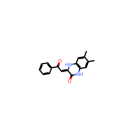 Cc1cc2c(cc1C)NC(=CC(=O)c1ccccc1)C(=O)N2